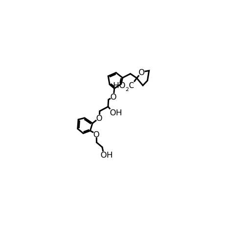 O=C(O)C1(Cc2cccc(OCC(O)COc3ccccc3OCCO)c2)CCCO1